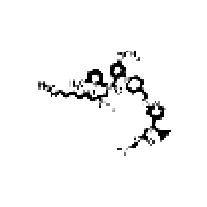 CCOC(=O)C[C@@H](c1ccnc(OCC2CCN(c3cc(OC)ccc3C(=O)N(CC(C)(C)CCCCCCN=[N+]=[N-])c3cccc(C)n3)CC2)c1)C1CC1